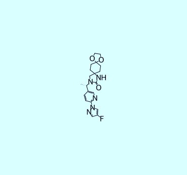 C[C@@H](c1ccc(-n2cc(F)cn2)nc1)N1CC2(CCC3(CC2)OCCO3)NC1=O